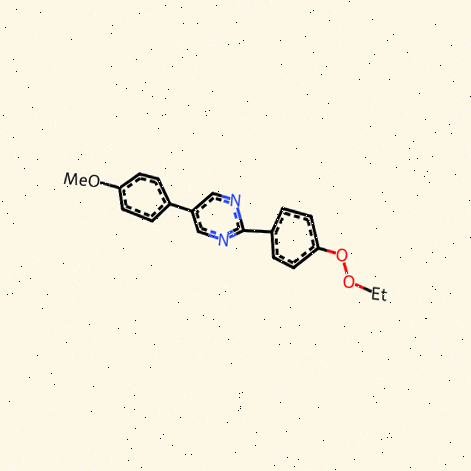 CCOOc1ccc(-c2ncc(-c3ccc(OC)cc3)cn2)cc1